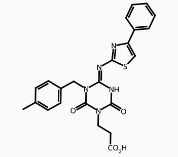 Cc1ccc(Cn2c(=O)n(CCC(=O)O)c(=O)[nH]/c2=N\c2nc(-c3ccccc3)cs2)cc1